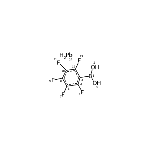 OB(O)c1c(F)c(F)c(F)c(F)c1F.[PbH2]